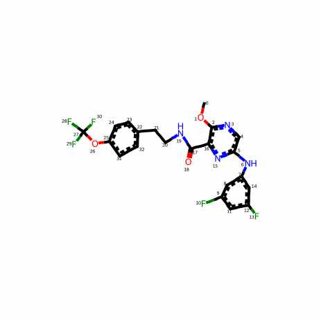 COc1ncc(Nc2cc(F)cc(F)c2)nc1C(=O)NCCc1ccc(OC(F)(F)F)cc1